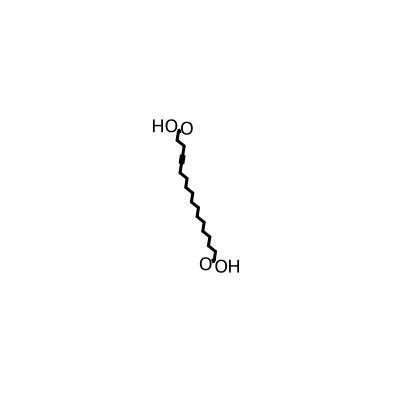 O=C(O)CCC#CCCCCCCCCCCCCC(=O)O